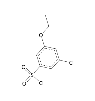 CCOc1cc(Cl)cc(S(=O)(=O)Cl)c1